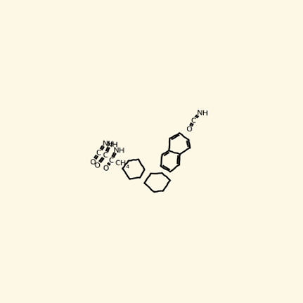 C.C1CCCCC1.C1CCCCC1.N=C=O.N=C=O.N=C=O.N=C=O.c1ccc2ccccc2c1